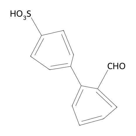 O=Cc1ccccc1-c1ccc(S(=O)(=O)O)cc1